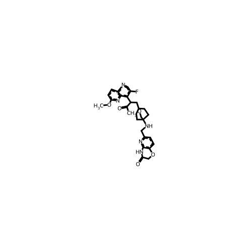 COc1ccc2ncc(F)c(C(CC34CCC(NCc5ccc6c(n5)NC(=O)CO6)(CC3)CO4)C(C)=O)c2n1